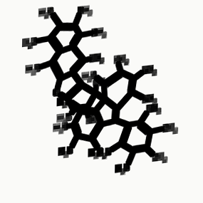 BC1=C(B)C2=C(c3c(B)c(B)c(B)c(B)c3B)c3c(B)c(B)c(B)c(B)c3C2(C2(C)C(B)=C(B)c3oc4c(B)c5c(B)c(B)c(B)c(B)c5c(B)c4c32)C(B)=C1B